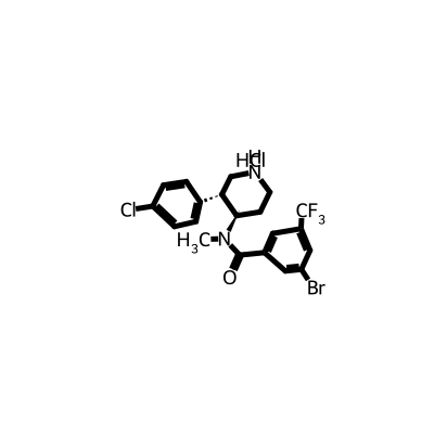 CN(C(=O)c1cc(Br)cc(C(F)(F)F)c1)[C@@H]1CCNC[C@H]1c1ccc(Cl)cc1.Cl